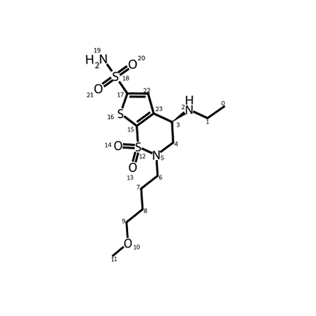 CCN[C@H]1CN(CCCCOC)S(=O)(=O)c2sc(S(N)(=O)=O)cc21